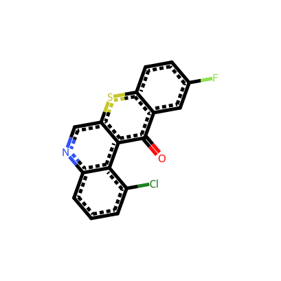 O=c1c2cc(F)ccc2sc2cnc3cccc(Cl)c3c12